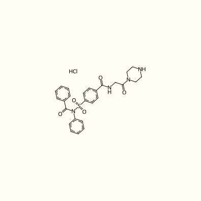 Cl.O=C(NCC(=O)N1CCNCC1)c1ccc(S(=O)(=O)N(C(=O)c2ccccc2)c2ccccc2)cc1